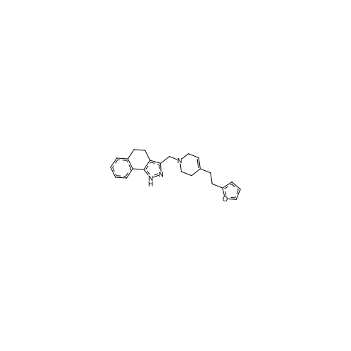 C1=C(CCc2ccco2)CCN(Cc2n[nH]c3c2CCc2ccccc2-3)C1